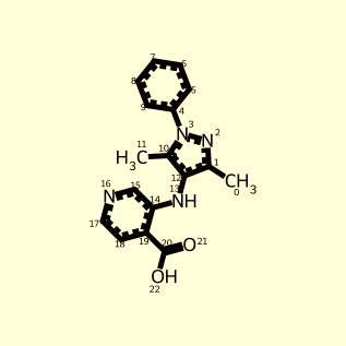 Cc1nn(-c2ccccc2)c(C)c1Nc1cnccc1C(=O)O